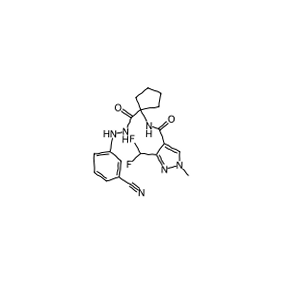 Cn1cc(C(=O)NC2(C(=O)NNc3cccc(C#N)c3)CCCC2)c(C(F)F)n1